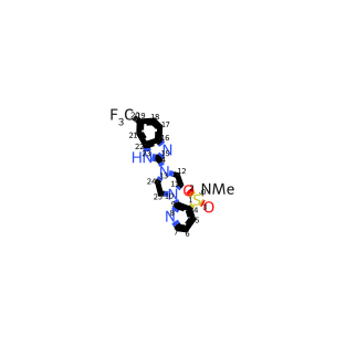 CNS(=O)(=O)c1cccnc1N1CCN(c2nc3ccc(C(F)(F)F)cc3[nH]2)CC1